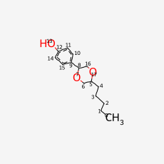 CCCCCC1COC(c2ccc(O)cc2)CO1